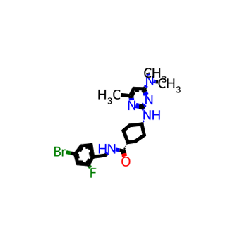 Cc1cc(N(C)C)nc(N[C@H]2CC[C@@H](C(=O)NCc3ccc(Br)cc3F)CC2)n1